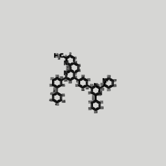 Cc1ccc2ccc3c(-c4ccc(-c5cc(-c6ccccc6)nc(-c6ccccn6)n5)cc4)cc(-c4cccc(-c5ccccc5)c4)nc3c2n1